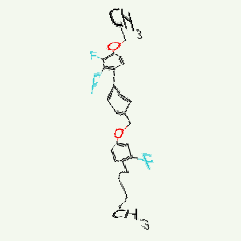 CCCCCc1ccc(OCc2ccc(-c3ccc(OCC)c(F)c3F)cc2)cc1F